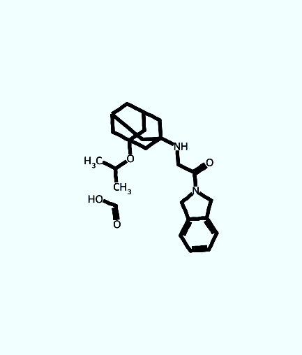 CC(C)OC12CC3CC(CC(NCC(=O)N4Cc5ccccc5C4)(C3)C1)C2.O=CO